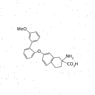 COc1cccc(-c2ccccc2Oc2ccc3c(c2)CC(N)(C(=O)O)CC3)c1